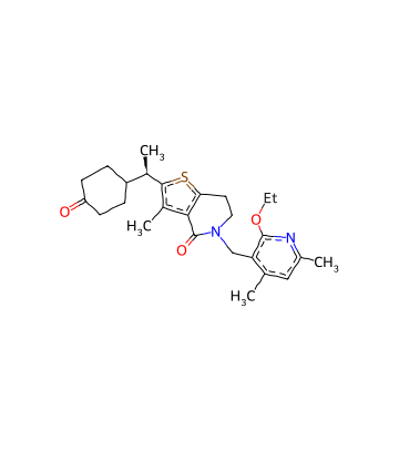 CCOc1nc(C)cc(C)c1CN1CCc2sc([C@H](C)C3CCC(=O)CC3)c(C)c2C1=O